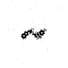 CN(C[C@H](O)CNC(C)(C)CC1Cc2ccccc2C1)S(=O)(=O)c1ccc(Br)cc1